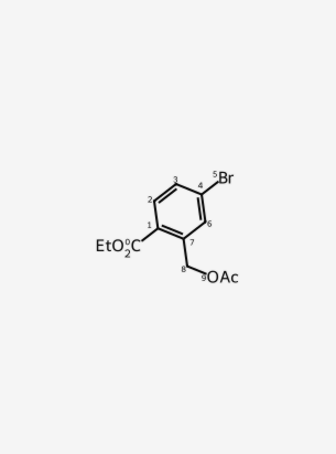 CCOC(=O)c1ccc(Br)cc1COC(C)=O